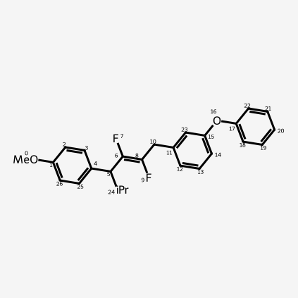 COc1ccc(C(/C(F)=C(\F)Cc2cccc(Oc3ccccc3)c2)C(C)C)cc1